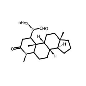 CCCCCCN(C=O)C1CC(=O)N(C)C2CC[C@@H]3[C@@H](CC[C@]4(C)CCC[C@@H]34)[C@@]12C